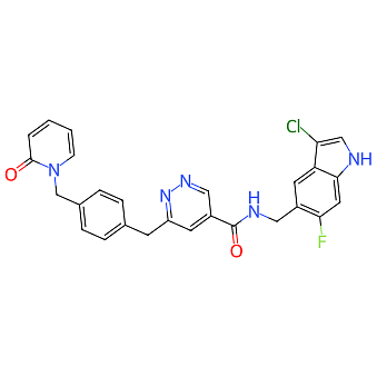 O=C(NCc1cc2c(Cl)c[nH]c2cc1F)c1cnnc(Cc2ccc(Cn3ccccc3=O)cc2)c1